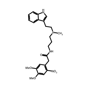 COc1cc(CC(=O)NCCCN(C)CCc2c[nH]c3ccccc23)c([N+](=O)[O-])cc1OC